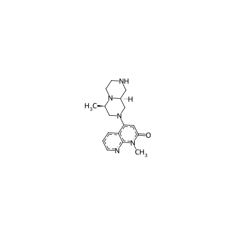 C[C@@H]1CN(c2cc(=O)n(C)c3ncccc23)C[C@@H]2CNCCN21